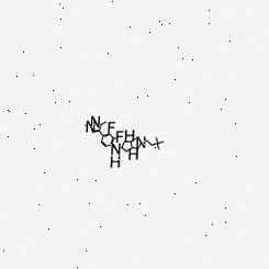 Cc1nn(C)cc1-c1ccc(NC2C[C@@H]3CN(CCC(C)(C)C)C[C@@H]3C2)c(F)c1F